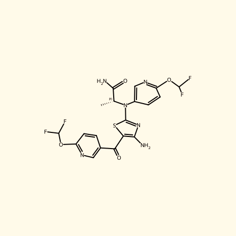 C[C@H](C(N)=O)N(c1ccc(OC(F)F)nc1)c1nc(N)c(C(=O)c2ccc(OC(F)F)nc2)s1